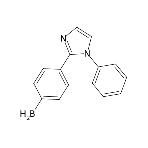 Bc1ccc(-c2nccn2-c2ccccc2)cc1